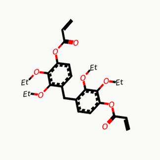 C=CC(=O)Oc1ccc(Cc2ccc(OC(=O)C=C)c(OCC)c2OCC)c(OCC)c1OCC